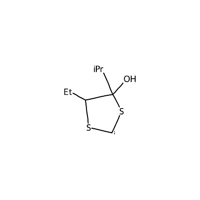 CCC1S[C]SC1(O)C(C)C